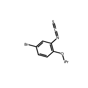 CC(C)Oc1ccc(Br)cc1N=C=S